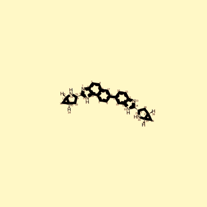 c1cc2c(ccc3nc([C@@H]4C[C@H]5C[C@H]5N4)[nH]c32)cc1-c1ccc2nc([C@@H]3C[C@H]4C[C@H]4N3)[nH]c2c1